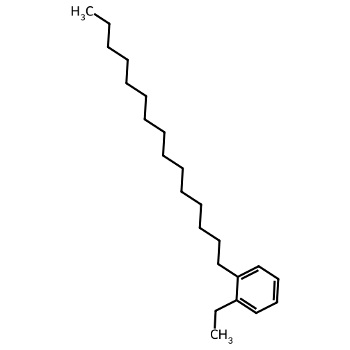 CCCCCCCCCCCCCCCc1ccccc1CC